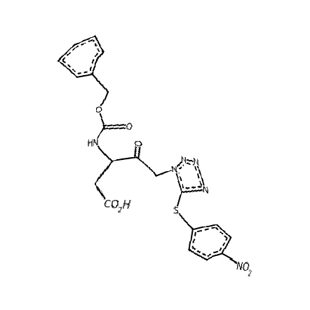 O=C(O)CC(NC(=O)OCc1ccccc1)C(=O)Cn1nnnc1Sc1ccc([N+](=O)[O-])cc1